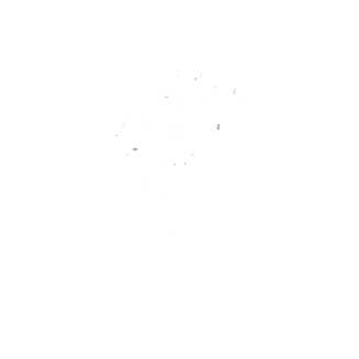 CCCCCCOC(=O)c1ccccc1C(=O)c1cccc(N)c1N